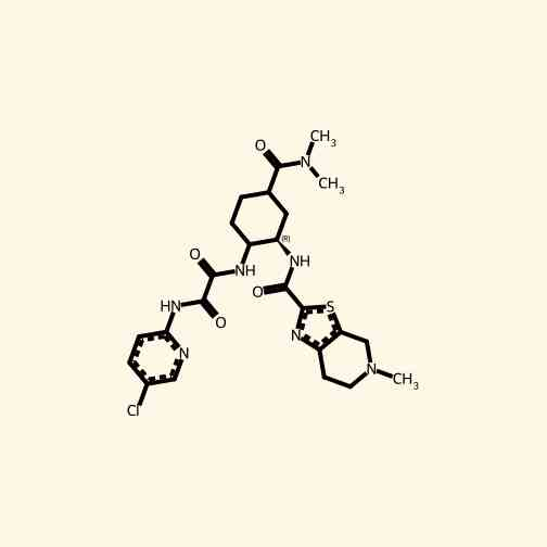 CN1CCc2nc(C(=O)N[C@@H]3CC(C(=O)N(C)C)CCC3NC(=O)C(=O)Nc3ccc(Cl)cn3)sc2C1